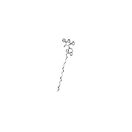 CCCCCCCCCCCCCCCCCC(=O)OC(CC)C1C(=O)OC(=O)C1C